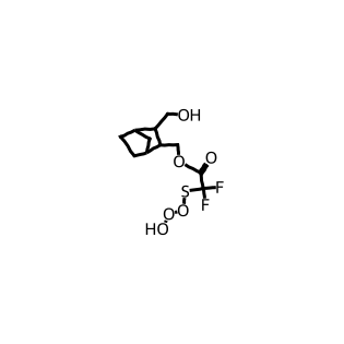 O=C(OCC1C2CCC(C2)C1CO)C(F)(F)SOOO